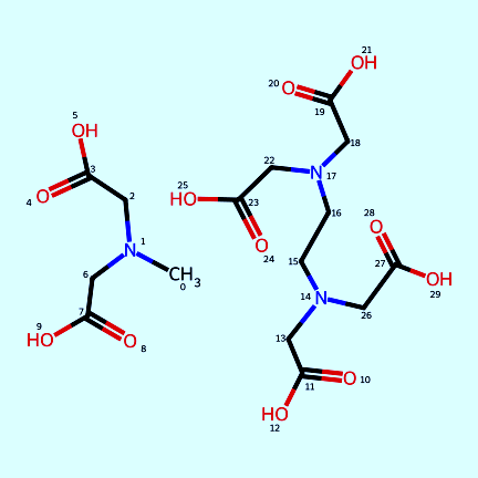 CN(CC(=O)O)CC(=O)O.O=C(O)CN(CCN(CC(=O)O)CC(=O)O)CC(=O)O